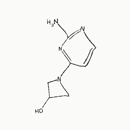 Nc1nccc(N2CC(O)C2)n1